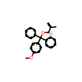 C=C(C)C(=O)OC(c1ccccc1)(c1ccccc1)c1ccc(OC)cc1